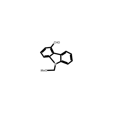 COCn1c2ccccc2c2c(C=O)cccc21